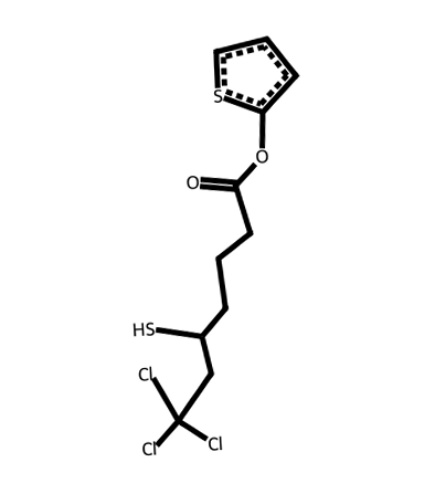 O=C(CCCC(S)CC(Cl)(Cl)Cl)Oc1cccs1